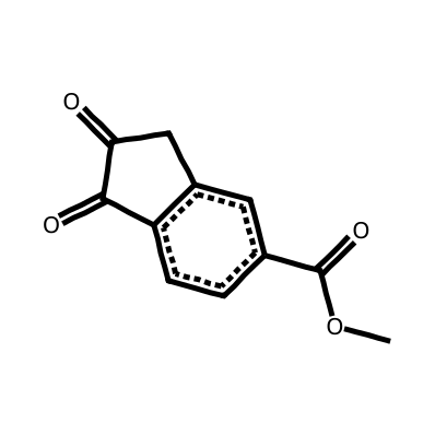 COC(=O)c1ccc2c(c1)CC(=O)C2=O